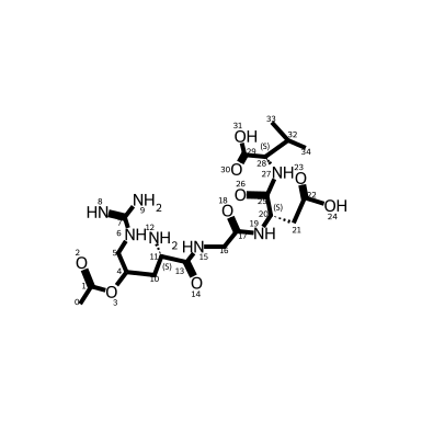 CC(=O)OC(CNC(=N)N)C[C@H](N)C(=O)NCC(=O)N[C@@H](CC(=O)O)C(=O)N[C@H](C(=O)O)C(C)C